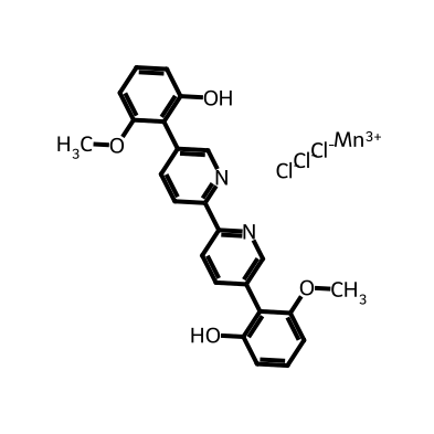 COc1cccc(O)c1-c1ccc(-c2ccc(-c3c(O)cccc3OC)cn2)nc1.[Cl-].[Cl-].[Cl-].[Mn+3]